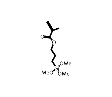 C=C(C)C(=O)OC[CH]C[Si](OC)(OC)OC